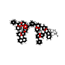 CC1(C)c2ccccc2-c2c(-c3ccccc3N(c3ccccc3-c3ccc(-c4ccccc4)cc3)c3ccccc3-c3ccc(-c4cccc(CC5(C)c6ccccc6-c6c(-c7ccccc7N(c7ccc(-c8cccc9cccc(-c%10ccccc%10)c89)cc7)c7ccccc7-c7ccc(-c8ccccc8)cc7)cccc65)c4)cc3)cccc21